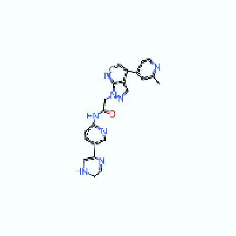 Cc1cc(-c2ccnc3c2cnn3CC(=O)Nc2ccc(C3=CNCC=N3)cn2)ccn1